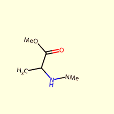 CNNC(C)C(=O)OC